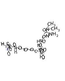 CCCN(CCC)C(=O)C1=Cc2ccc(C(=O)Nc3cncc(CNC(=O)[C@H](Cc4ccccc4)NC(=O)CCOCCOCCOCCOCCNC(=O)CCN(C)C(=O)/C=C\C=O)c3)cc2N=C(N)C1